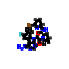 Cc1cc2c(cc1F)c1c(N)ncnc1n2CC(=O)N1[C@@H]2CC2C[C@H]1C(=O)Nc1cccc(Br)n1